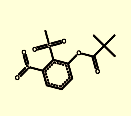 CC(C)(C)C(=O)Oc1cccc([S](=O)=O)c1S(C)(=O)=O